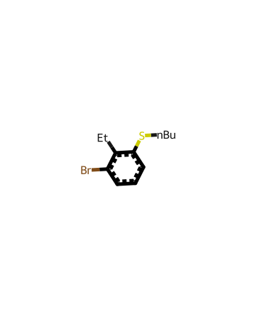 CCCCSc1cccc(Br)c1CC